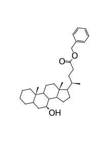 C[C@H](CCC(=O)OCc1ccccc1)C1CCC2C3C(CC[C@@]21C)[C@@]1(C)CCCCC1C[C@@H]3O